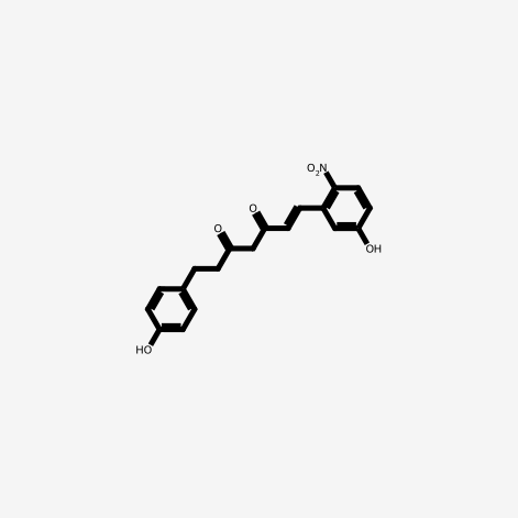 O=C(/C=C/c1cc(O)ccc1[N+](=O)[O-])CC(=O)CCc1ccc(O)cc1